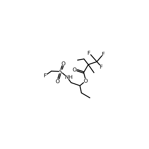 CCC(CNS(=O)(=O)CF)OC(=O)C(C)(CC)C(F)(F)F